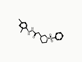 Cc1ccc(NNC(=O)CC2CCCN(S(=O)(=O)c3ccccc3)C2)c(C)c1